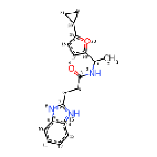 CC(NC(=O)CCc1nc2ccccc2[nH]1)c1ccc(C2CC2)o1